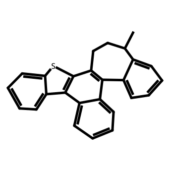 CC1CCc2c(c3ccccc3c3c2sc2ccccc23)-c2ccccc21